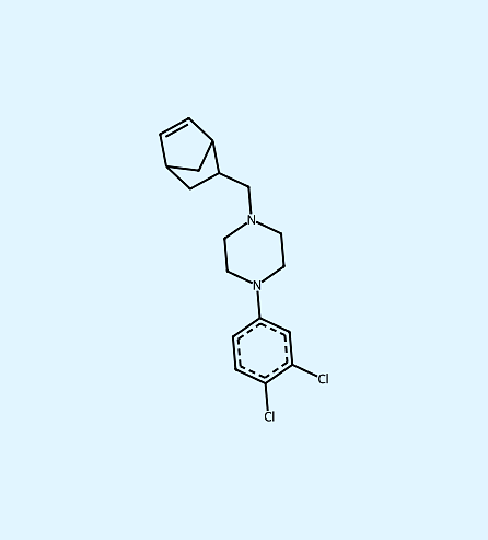 Clc1ccc(N2CCN(CC3CC4C=CC3C4)CC2)cc1Cl